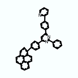 c1ccc(-c2nc(-c3ccc(-c4ccccn4)cc3)cc(-c3ccc(-c4ccc5ccc6cccc7ccc4c5c67)cc3)n2)cc1